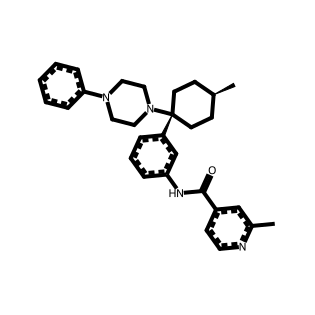 Cc1cc(C(=O)Nc2cccc([C@]3(N4CCN(c5ccccc5)CC4)CC[C@H](C)CC3)c2)ccn1